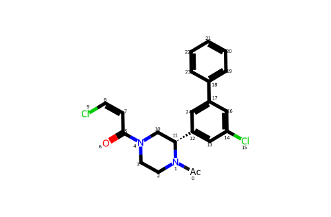 CC(=O)N1CCN(C(=O)/C=C\Cl)C[C@@H]1c1cc(Cl)cc(-c2ccccc2)c1